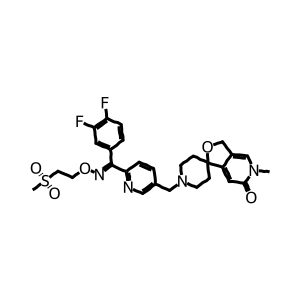 Cn1cc2c(cc1=O)C1(CCN(Cc3ccc(C(=NOCCS(C)(=O)=O)c4ccc(F)c(F)c4)nc3)CC1)OC2